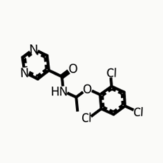 CC(NC(=O)c1cncnc1)Oc1c(Cl)cc(Cl)cc1Cl